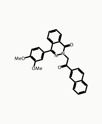 COc1ccc(-c2nn(CC(=O)c3ccc4ccccc4c3)c(=O)c3ccccc23)cc1OC